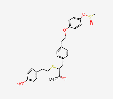 COC(=O)C(Cc1ccc(CCOc2ccc(OS(C)=O)cc2)cc1)SCCc1ccc(O)cc1